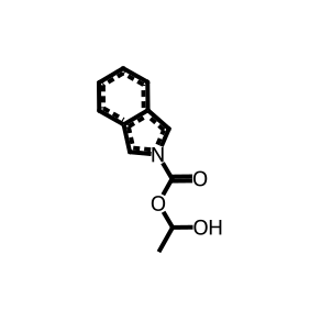 CC(O)OC(=O)n1cc2ccccc2c1